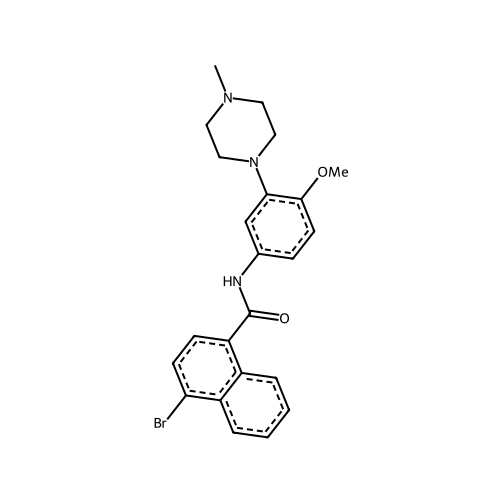 COc1ccc(NC(=O)c2ccc(Br)c3ccccc23)cc1N1CCN(C)CC1